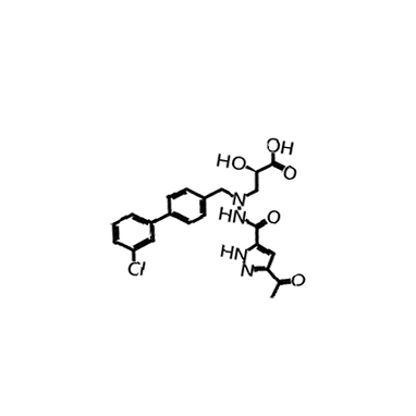 CC(=O)c1cc(C(=O)NN(Cc2ccc(-c3cccc(Cl)c3)cc2)C[C@@H](O)C(=O)O)[nH]n1